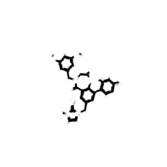 COc1cc(CN2CC(C)Oc3c(cc(Cn4ccn(C)c4=N)cc3-c3ccc(F)cc3C)C2=O)cc(OC)c1